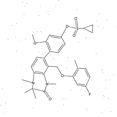 COc1cc(OS(=O)(=O)C2CC2)ccc1-c1ccc2c(c1COc1cc(F)ccc1C)N(C)C(=O)C(C)(C)N2C